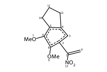 C=C(c1cc2c(c(OC)c1OC)CCC2)[N+](=O)[O-]